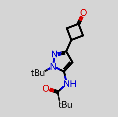 CC(C)(C)C(=O)Nc1cc(C2CC(=O)C2)nn1C(C)(C)C